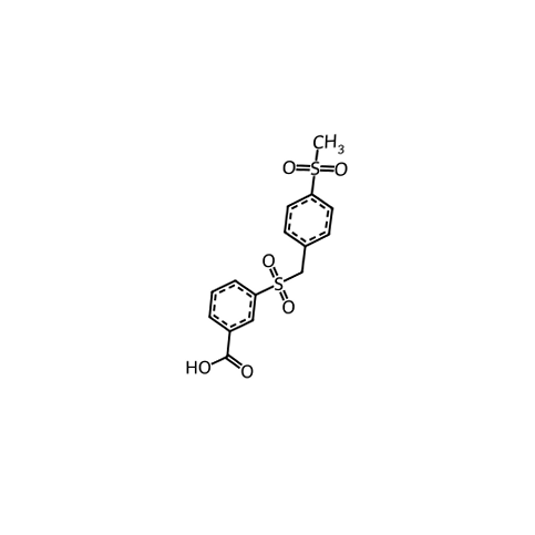 CS(=O)(=O)c1ccc(CS(=O)(=O)c2cccc(C(=O)O)c2)cc1